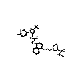 CNC(=O)C1CN(CCOc2ccc(NC(=O)Nc3cc(C(C)(C)C)nn3-c3ccc(C)nc3)c3ccccc23)CCO1